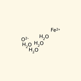 O.O.O.O.[Fe+2].[O-2]